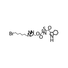 O=C(OCc1cn(CCCCCCBr)nn1)c1csc(C(=O)c2c[nH]c3ccccc23)n1